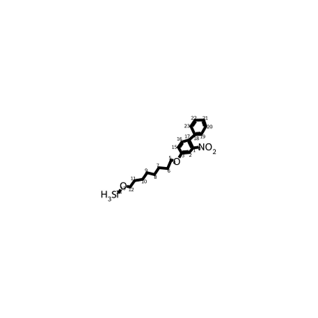 O=[N+]([O-])c1cc(OCCCCCCCCO[SiH3])ccc1-c1ccccc1